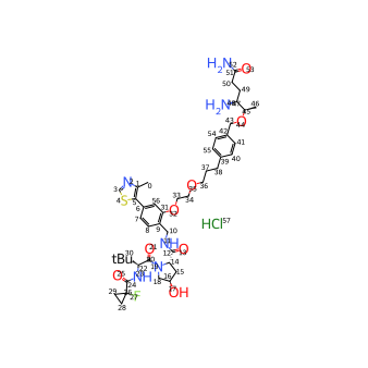 Cc1ncsc1-c1ccc(CNC(=O)[C@@H]2C[C@@H](O)CN2C(=O)[C@@H](NC(=O)C2(F)CC2)C(C)(C)C)c(OCCOCCCc2ccc(CO[C@H](C)[C@@H](N)CCC(N)=O)cc2)c1.Cl